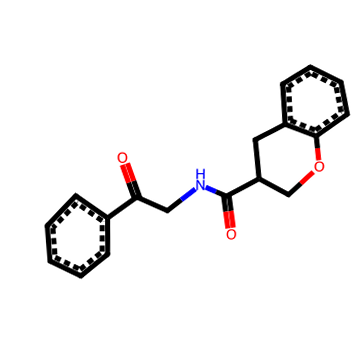 O=C(CNC(=O)C1COc2ccccc2C1)c1ccccc1